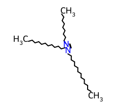 CCCCCCCCCCCCCCCN1C=CN(CCCCCCCCCC)C1CCCCCCCCCCCC